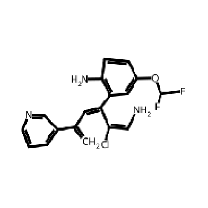 C=C(/C=C(\C(Cl)=C/N)c1cc(OC(F)F)ccc1N)c1cccnc1